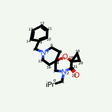 CC(C)CN1CC2(CCN(Cc3ccccc3)CC2)OC2(CC2)C1=O